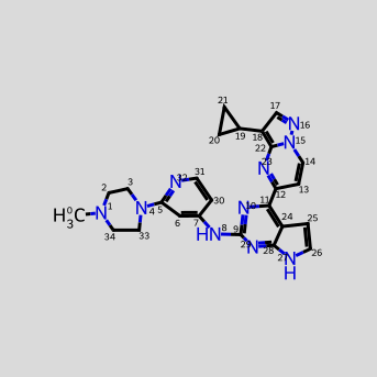 CN1CCN(c2cc(Nc3nc(-c4ccn5ncc(C6CC6)c5n4)c4cc[nH]c4n3)ccn2)CC1